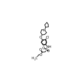 CCOC(=O)CS(=O)(=O)Nc1ccc(OC2CCN(C3CCCC3)CC2)c(Cl)c1